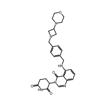 O=C1CCC(n2cnc3cccc(NCc4ccc(CN5CC(N6CCOCC6)C5)cc4)c3c2=O)C(=O)N1